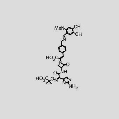 CNc1cc(O)c(O)cc1/C=N/Cc1ccc(/C=C(\C(=O)O)N2C[C@H](NC(=O)/C(=N\OC(C)(C)C(=O)O)c3csc(N)n3)C2=O)cc1